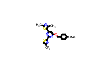 COc1ccc(COc2cc(-c3sc(C)nc3C)nc(-c3nc(C(F)(F)F)cs3)n2)cc1